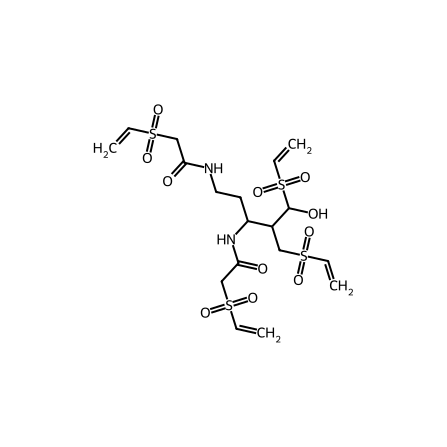 C=CS(=O)(=O)CC(=O)NCCC(NC(=O)CS(=O)(=O)C=C)C(CS(=O)(=O)C=C)C(O)S(=O)(=O)C=C